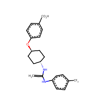 C=C(Nc1ccc(C(F)(F)F)cc1)N[C@H]1CC[C@H](Oc2ccc(C(=O)O)cc2)CC1